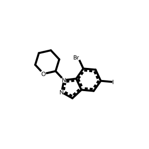 Brc1cc(I)cc2cnn(C3CCCCO3)c12